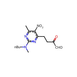 CCCCN(C)c1nc(C)c([N+](=O)[O-])c(CCC(=O)C=O)n1